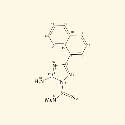 CNC(=S)n1nc(-c2cccc3ccccc23)nc1N